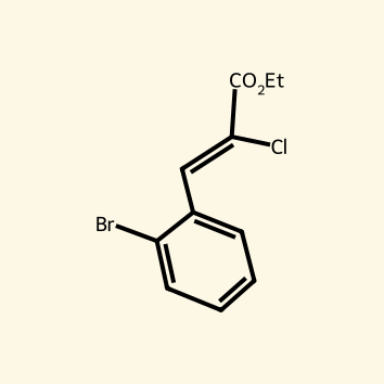 CCOC(=O)C(Cl)=Cc1ccccc1Br